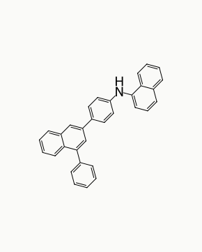 c1ccc(-c2cc(-c3ccc(Nc4cccc5ccccc45)cc3)cc3ccccc23)cc1